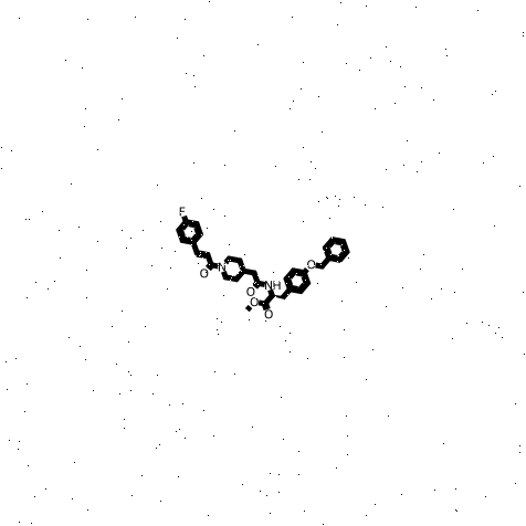 COC(=O)[C@H](Cc1ccc(OCc2ccccc2)cc1)NC(=O)CC1CCN(C(=O)/C=C/c2ccc(F)cc2)CC1